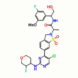 COc1cc(F)cc(C(CO)NC(=O)C(C)N2Cc3ccc(-c4nc(NC5CCOCC5F)ncc4Cl)cc3S2(=O)=O)c1